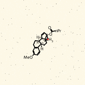 CCCC(=O)O[C@]12C=C[C@]3(CC1)[C@@H]1CCc4cc(OC)ccc4[C@H]1CC[C@]23C